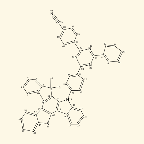 CC1(C)c2ccccc2-c2c1c1c(c3ccccc3n1-c1ccc(-c3nc(-c4ccccc4)nc(-c4ccc(C#N)cc4)n3)cc1)c1sc3ccccc3c21